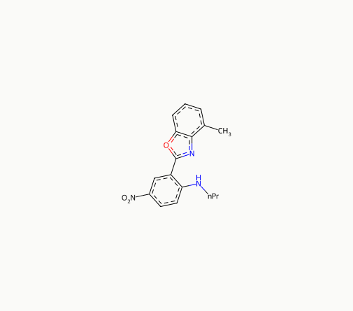 CCCNc1ccc([N+](=O)[O-])cc1-c1nc2c(C)cccc2o1